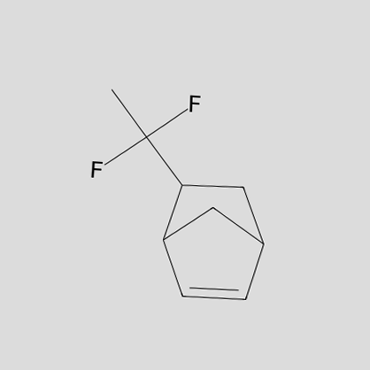 CC(F)(F)C1CC2C=CC1C2